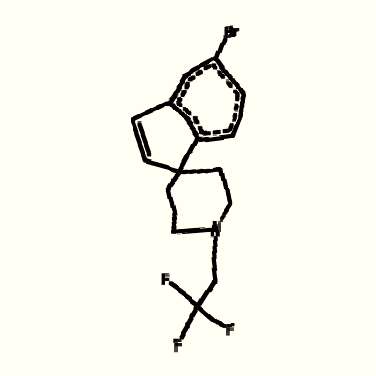 FC(F)(F)CN1CCC2(C=Cc3cc(Br)ccc32)CC1